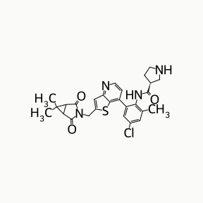 Cc1cc(Cl)cc(-c2ccnc3cc(CN4C(=O)C5C(C4=O)C5(C)C)sc23)c1NC(=O)[C@H]1CCNC1